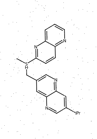 CC(C)c1cnc2cc(C[SH](C)c3ccc4ncccc4n3)cnc2c1